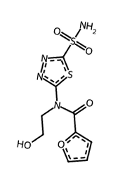 NS(=O)(=O)c1nnc(N(CCO)C(=O)c2ccco2)s1